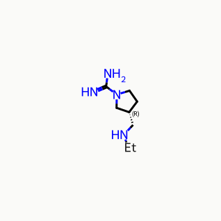 CCNC[C@H]1CCN(C(=N)N)C1